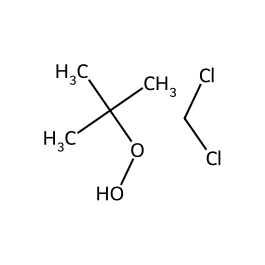 CC(C)(C)OO.ClCCl